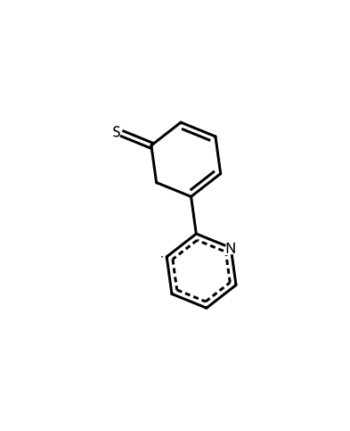 S=C1C=CC=C(c2[c]cccn2)C1